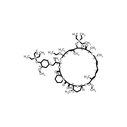 CCO[C@@H]1C[C@@H]([C@H](N)C[C@@H]2CCC(O[Si](CC)(CC)CC)[C@H](OC)C2)OC(=O)[C@@H]2CCCCN2C(=O)C(=O)[C@]2(O)O[C@@H](CC[C@H]2C)C[C@H](OC)/C(C)=C/C=C/C=C/[C@@H](C)C[C@@H](C)C(=O)[C@H](O)C(O[Si](CC)(CC)CC)/C(C)=C/[C@H]1C